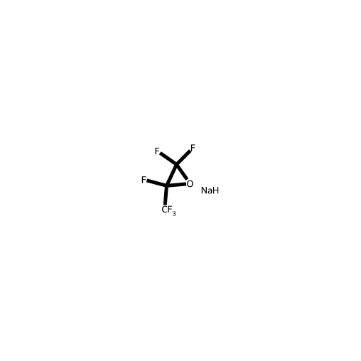 FC(F)(F)C1(F)OC1(F)F.[NaH]